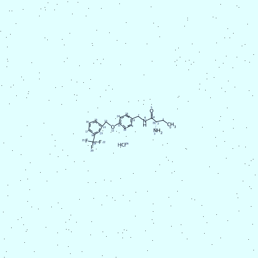 CC[C@H](N)C(=O)NCc1ccc(OCc2cccc(C(F)(F)F)c2)cc1.Cl